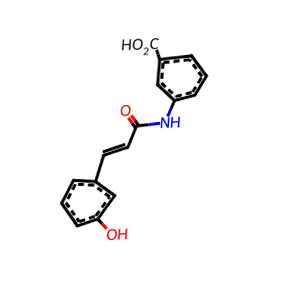 O=C(C=Cc1cccc(O)c1)Nc1cccc(C(=O)O)c1